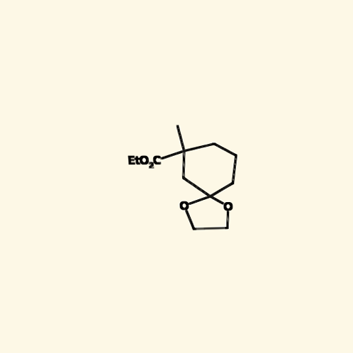 CCOC(=O)C1(C)CCCC2(C1)OCCO2